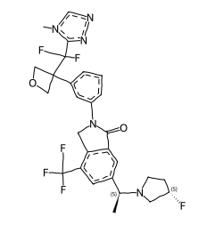 C[C@@H](c1cc2c(c(C(F)(F)F)c1)CN(c1cccc(C3(C(F)(F)c4nncn4C)COC3)c1)C2=O)N1CC[C@H](F)C1